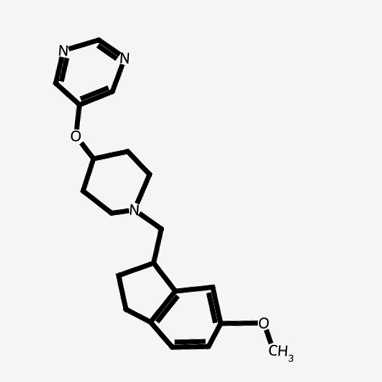 COc1ccc2c(c1)C(CN1CCC(Oc3cncnc3)CC1)CC2